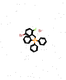 Fc1ccc(Br)cc1C[P+](c1ccccc1)(c1ccccc1)c1ccccc1.[Br-]